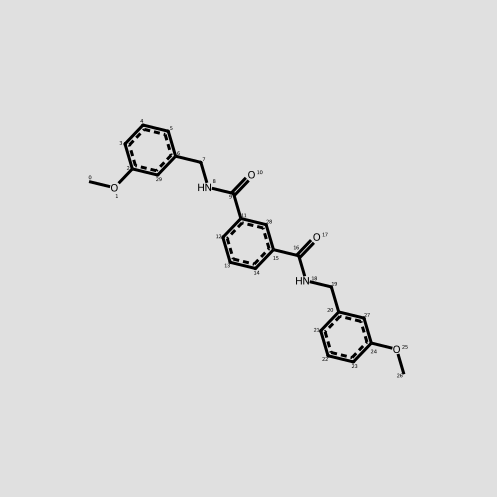 COc1cccc(CNC(=O)c2cccc(C(=O)NCc3cccc(OC)c3)c2)c1